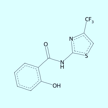 O=C(Nc1nc(C(F)(F)F)cs1)c1ccccc1O